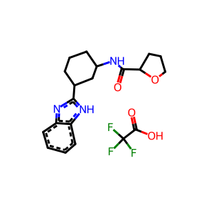 O=C(NC1CCCC(c2nc3ccccc3[nH]2)C1)C1CCCO1.O=C(O)C(F)(F)F